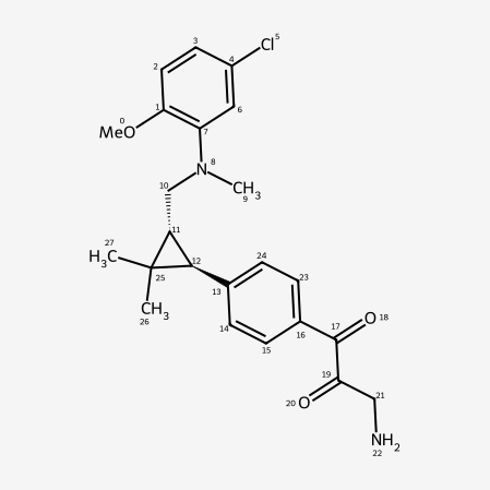 COc1ccc(Cl)cc1N(C)C[C@@H]1[C@@H](c2ccc(C(=O)C(=O)CN)cc2)C1(C)C